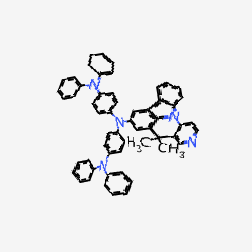 CC1(C)c2cnccc2-n2c3ccccc3c3cc(N(c4ccc(N(C5=CC=CCC5)c5ccccc5)cc4)c4ccc(N(c5ccccc5)c5ccccc5)cc4)cc1c32